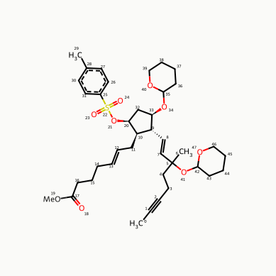 CC#CCCC(C)(C=C[C@@H]1[C@@H](CC=CCCCC(=O)OC)[C@@H](OS(=O)(=O)c2ccc(C)cc2)C[C@H]1OC1CCCCO1)OC1CCCCO1